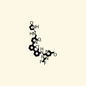 COc1nc(-c2cccc(-c3cccc(Nc4nc(C(F)F)nc5cc(C=O)cnc45)c3C)c2Cl)ccc1CNC[C@@H]1CCC(=O)N1